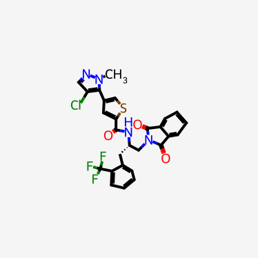 Cn1ncc(Cl)c1-c1csc(C(=O)N[C@@H](Cc2ccccc2C(F)(F)F)CN2C(=O)c3ccccc3C2=O)c1